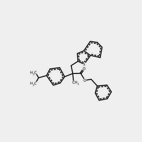 CC(C)c1ccc(C(C)(Cc2cc3ccccc3s2)C(=O)OCc2ccccc2)cc1